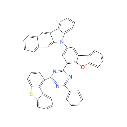 c1ccc(-c2nc(-c3cc(-n4c5ccccc5c5cc6ccccc6cc54)cc4c3oc3ccccc34)nc(-c3cccc4sc5ccccc5c34)n2)cc1